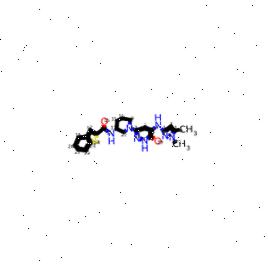 Cc1cc(Nc2cc(N3CCC[C@@H](NC(=O)c4cc5ccccc5s4)C3)n[nH]c2=O)nn1C